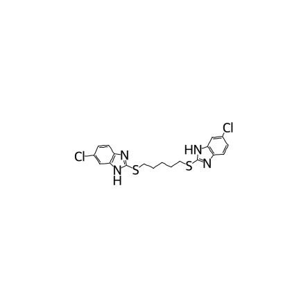 Clc1ccc2nc(SCCCCCSc3nc4ccc(Cl)cc4[nH]3)[nH]c2c1